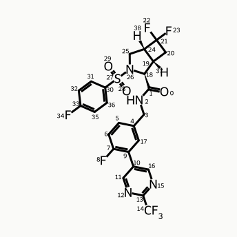 O=C(NCc1ccc(F)c(-c2cnc(C(F)(F)F)nc2)c1)[C@@H]1[C@H]2CC(F)(F)[C@H]2CN1S(=O)(=O)c1ccc(F)cc1